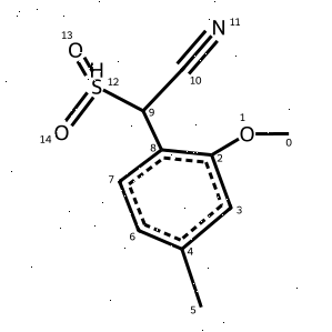 COc1cc(C)ccc1C(C#N)[SH](=O)=O